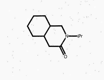 CC(C)N1CC2CCCCC2CC1=O